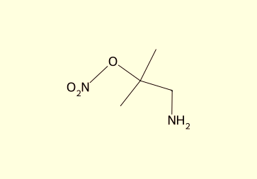 CC(C)(CN)O[N+](=O)[O-]